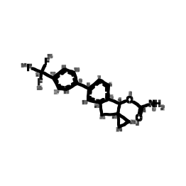 NC(=O)OC1c2ccc(-c3ccc(C(F)(F)F)cc3)cc2CC12CC2